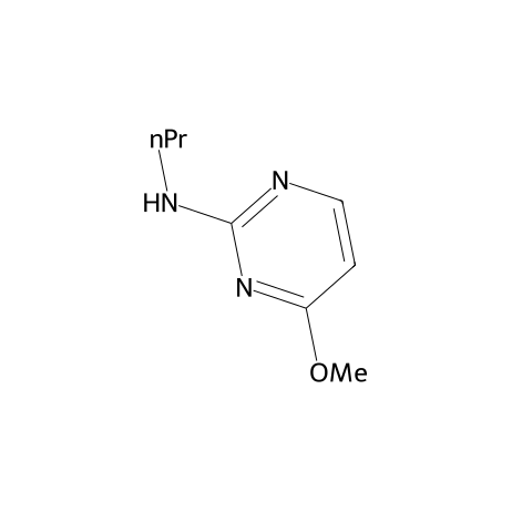 CCCNc1nccc(OC)n1